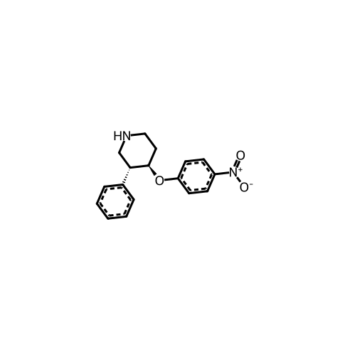 O=[N+]([O-])c1ccc(O[C@@H]2CCNC[C@H]2c2ccccc2)cc1